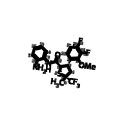 COc1c([C@@H]2C[C@](C)(C(F)(F)F)S[C@H]2C(=O)Nc2ccccc2N)ccc(F)c1F